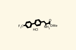 COC(=O)C(N)Cc1ccc(-c2ccc(C(F)(F)F)cc2)cc1.Cl